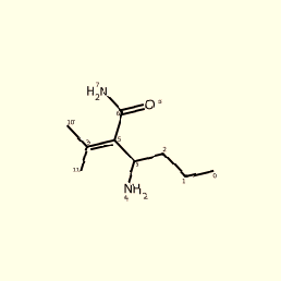 CCCC(N)C(C(N)=O)=C(C)C